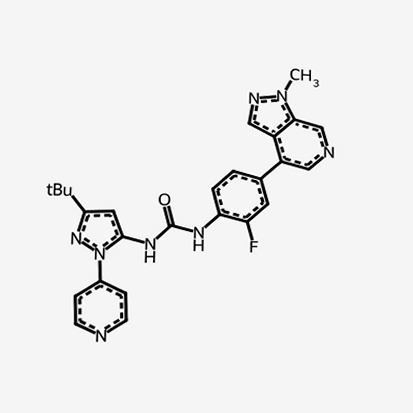 Cn1ncc2c(-c3ccc(NC(=O)Nc4cc(C(C)(C)C)nn4-c4ccncc4)c(F)c3)cncc21